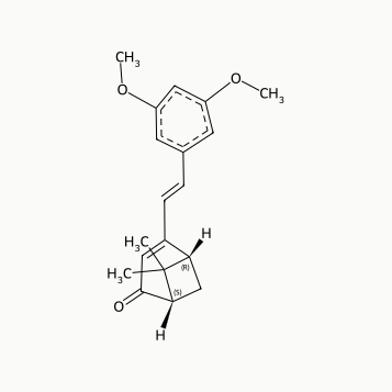 COc1cc(C=CC2=CC(=O)[C@H]3C[C@@H]2C3(C)C)cc(OC)c1